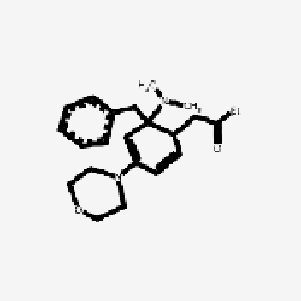 CCC(=O)CC1C=CC(N2CCOCC2)=CC1(Cc1ccccc1)N(C)C